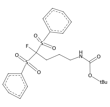 CC(C)(C)OC(=O)NCCCC(F)(S(=O)(=O)c1ccccc1)S(=O)(=O)c1ccccc1